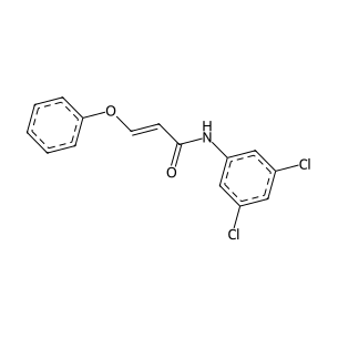 O=C(C=COc1ccccc1)Nc1cc(Cl)cc(Cl)c1